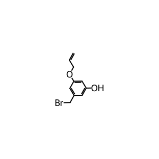 C=CCOc1cc(O)cc(CBr)c1